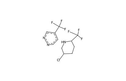 FC(F)(F)C1CCC(Cl)CN1.FC(F)(F)c1ccnnc1